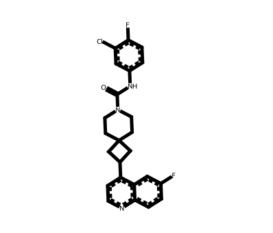 O=C(Nc1ccc(F)c(Cl)c1)N1CCC2(CC1)CC(c1ccnc3ccc(F)cc13)C2